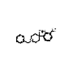 CCc1cccc(C2(O)CCN(Cc3ccccc3)CC2)c1